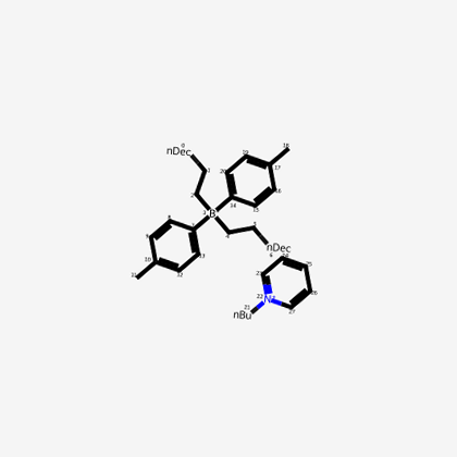 CCCCCCCCCCCC[B-](CCCCCCCCCCCC)(c1ccc(C)cc1)c1ccc(C)cc1.CCCC[n+]1ccccc1